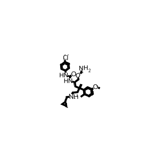 COc1ccc(C)c(C(C)(CCNCC2CC2)CC(COCN)NC(=O)Nc2ccc(Cl)cc2)c1